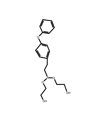 OCCON(CCc1ccc(Oc2ccccc2)cc1)OCCO